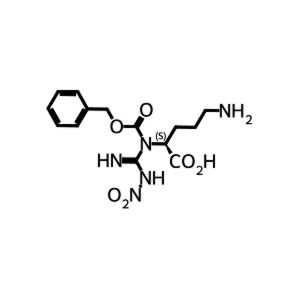 N=C(N[N+](=O)[O-])N(C(=O)OCc1ccccc1)[C@@H](CCCN)C(=O)O